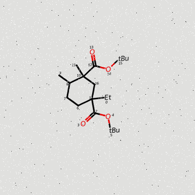 CCC1(C(=O)OC(C)(C)C)CCC(C)C(C)(C(=O)OC(C)(C)C)C1